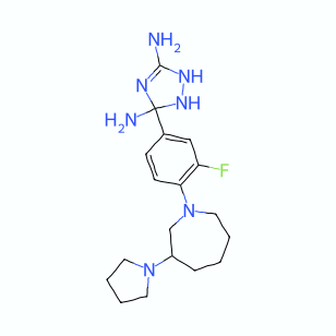 NC1=NC(N)(c2ccc(N3CCCCC(N4CCCC4)C3)c(F)c2)NN1